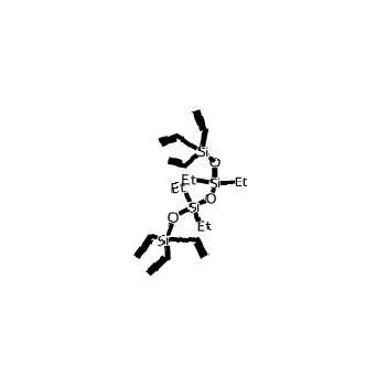 C=C[Si](C=C)(C=C)O[Si](CC)(CC)O[Si](CC)(CC)O[Si](C=C)(C=C)C=C